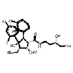 CC(C)(C)C[C@@H]1N(C=O)[C@@H](C(=O)NCC[C@H](O)CO)[C@H](c2cccc(Cl)c2F)[C@@]1(C#N)c1ccc(Cl)cc1F